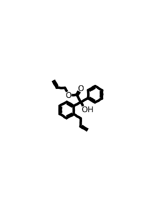 C=CCOC(=O)C(O)(c1ccccc1)c1ccccc1CC=C